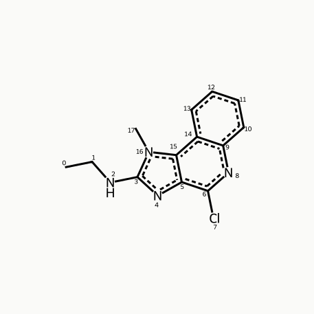 CCNc1nc2c(Cl)nc3ccccc3c2n1C